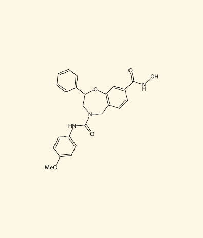 COc1ccc(NC(=O)N2Cc3ccc(C(=O)NO)cc3OC(c3ccccc3)C2)cc1